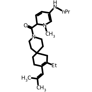 CCCNC1=CN(C)C(C(=O)N2CCC3(CCC(C=C(C)C)=C(CC)C3)CC2)C=C1